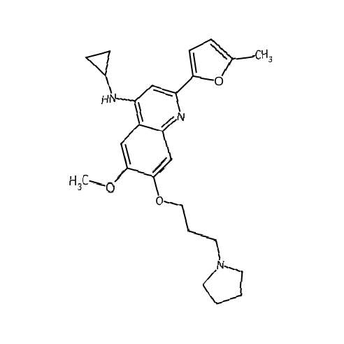 COc1cc2c(NC3CC3)cc(-c3ccc(C)o3)nc2cc1OCCCN1CCCC1